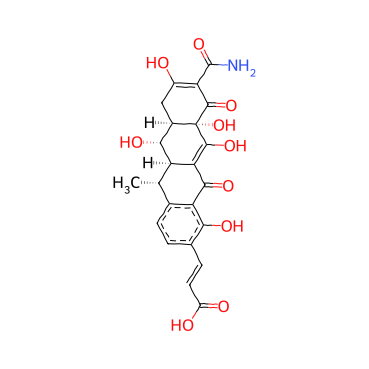 C[C@H]1c2ccc(/C=C/C(=O)O)c(O)c2C(=O)C2=C(O)[C@]3(O)C(=O)C(C(N)=O)=C(O)C[C@@H]3[C@@H](O)[C@@H]21